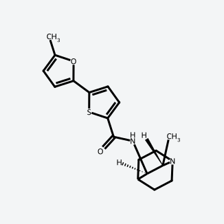 Cc1ccc(-c2ccc(C(=O)N[C@@H]3C4CCN(CC4)[C@H]3C)s2)o1